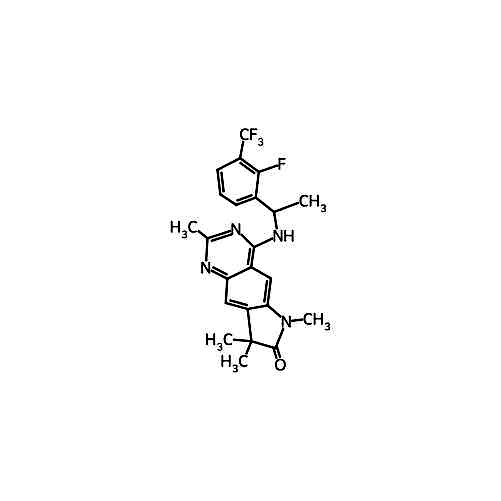 Cc1nc(NC(C)c2cccc(C(F)(F)F)c2F)c2cc3c(cc2n1)C(C)(C)C(=O)N3C